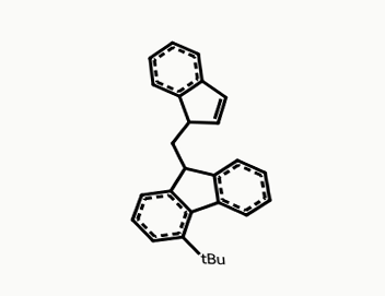 CC(C)(C)c1cccc2c1-c1ccccc1C2CC1C=Cc2ccccc21